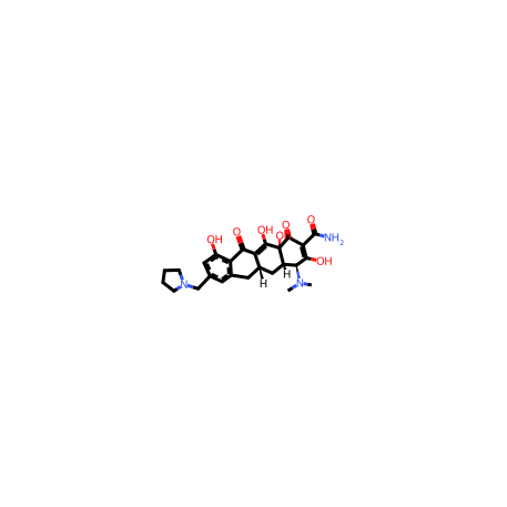 CN(C)[C@@H]1C(O)=C(C(N)=O)C(=O)[C@@]2(O)C(O)=C3C(=O)c4c(O)cc(CN5CCCC5)cc4C[C@H]3C[C@@H]12